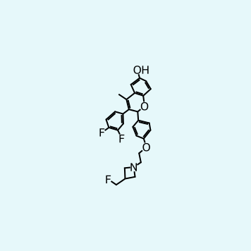 CC1=C(c2ccc(F)c(F)c2)C(c2ccc(OCCN3CC(CF)C3)cc2)Oc2ccc(O)cc21